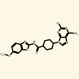 Nc1nc(Cl)nc2c1ncn2C1CCC(C(=O)Nc2nc3ccc(OC(F)(F)F)cc3s2)CC1